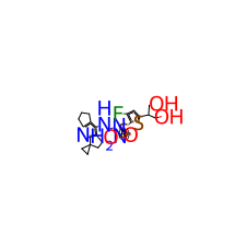 N[S@@](=O)(=NC(=O)Nc1c2c(nc3c1CCC31CC1)CCC2)c1sc(C(CO)CO)cc1F